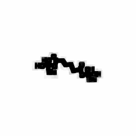 CC(C)(C)C(O)(O)OC(=O)CCCCC(=O)OC(O)(O)C(C)(C)C